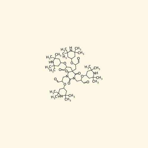 CC1(C)CC(OC(C=O)CN2C(=O)N(CC(C=O)OC3CC(C)(C)NC(C)(C)C3)C(=O)C(CC(C=O)OC3CC(C)(C)NC(C)(C)C3)(CC(C=O)OC3CC(C)(C)NC(C)(C)C3)C2=O)CC(C)(C)N1